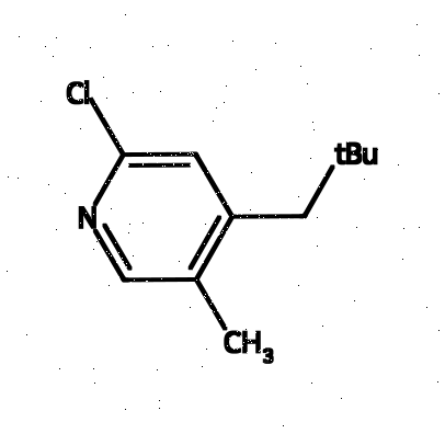 Cc1cnc(Cl)cc1CC(C)(C)C